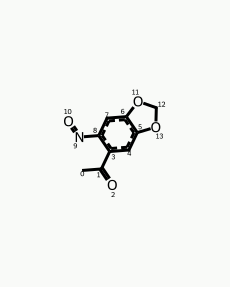 CC(=O)c1cc2c(cc1N=O)OCO2